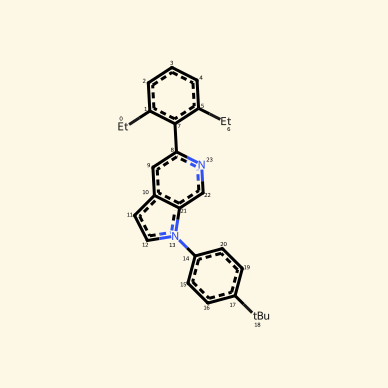 CCc1cccc(CC)c1-c1cc2ccn(-c3ccc(C(C)(C)C)cc3)c2cn1